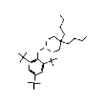 CCCCC1(CCCC)COP(Oc2c(C(C)(C)C)cc(C(C)(C)C)cc2C(C)(C)C)OC1